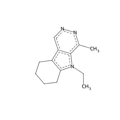 CCn1c2c(c3cnnc(C)c31)CCCC2